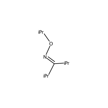 CC(C)ON=C(C(C)C)C(C)C